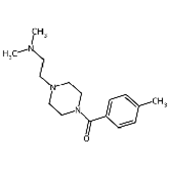 Cc1ccc(C(=O)N2CCN(CCN(C)C)CC2)cc1